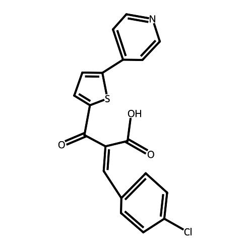 O=C(O)C(=Cc1ccc(Cl)cc1)C(=O)c1ccc(-c2ccncc2)s1